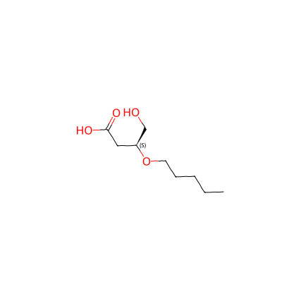 CCCCCO[C@H](CO)CC(=O)O